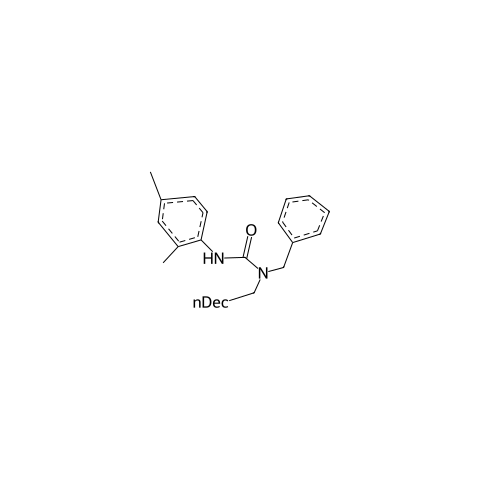 CCCCCCCCCCCN(Cc1ccccc1)C(=O)Nc1ccc(C)cc1C